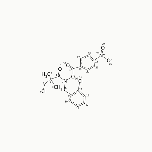 CC(C)(CCl)C(=O)N(Cc1ccccc1Cl)OC(=O)c1ccc([N+](=O)[O-])cc1